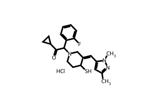 Cc1cc(/C=C2/CN(C(C(=O)C3CC3)c3ccccc3F)CCC2S)n(C)n1.Cl